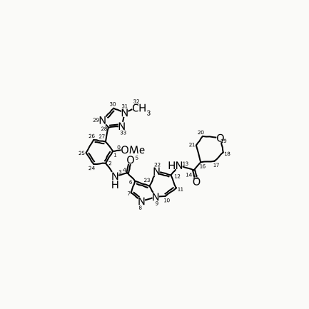 COc1c(NC(=O)c2cnn3ccc(NC(=O)C4CCOCC4)nc23)cccc1-c1ncn(C)n1